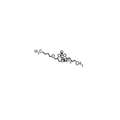 CCCCCOCC(CO)OP(=O)(OC)OCCCCC